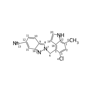 Cc1cc(Cl)c(Cn2cc3ccc(C#N)cc3n2)c2cc[nH]c12